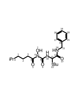 [CH2]C(C)CCCC(=O)N(O)C(=O)NC(C(=O)NCc1ccccc1)C(C)(C)C